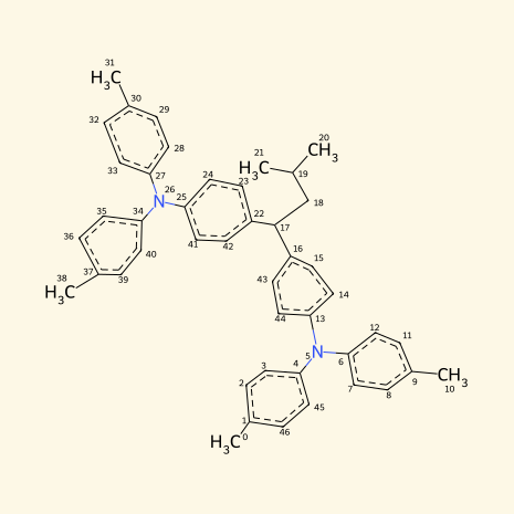 Cc1ccc(N(c2ccc(C)cc2)c2ccc(C(CC(C)C)c3ccc(N(c4ccc(C)cc4)c4ccc(C)cc4)cc3)cc2)cc1